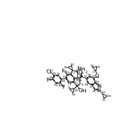 NC(=O)C1(c2cc([C@@](O)(CNC(=O)c3cc(OC4CC4)c4nn(C5CC5)cc4c3)C3CC3)nc(-c3cc(Cl)c(F)cc3F)c2F)CC1